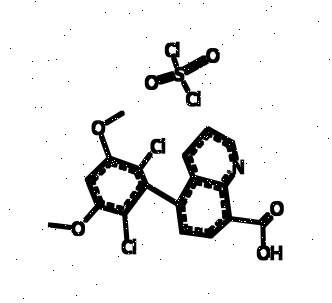 COc1cc(OC)c(Cl)c(-c2ccc(C(=O)O)c3ncccc23)c1Cl.O=S(=O)(Cl)Cl